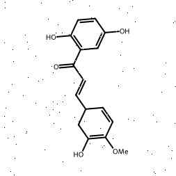 COC1=C(O)CC(C=CC(=O)c2cc(O)ccc2O)C=C1